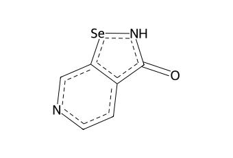 O=c1[nH][se]c2cnccc12